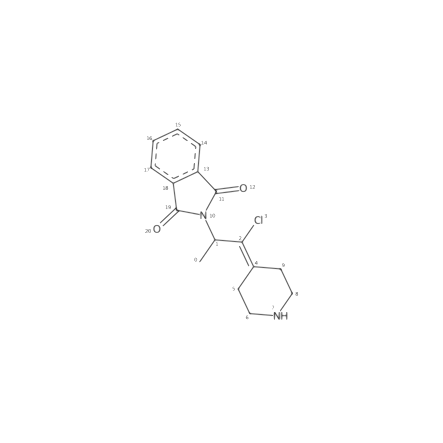 CC(C(Cl)=C1CCNCC1)N1C(=O)c2ccccc2C1=O